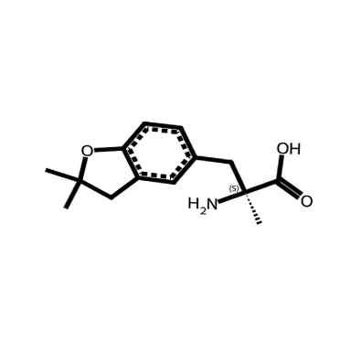 CC1(C)Cc2cc(C[C@](C)(N)C(=O)O)ccc2O1